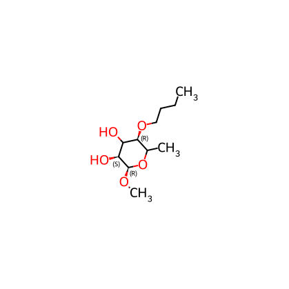 CCCCO[C@H]1C(C)O[C@@H](OC)[C@@H](O)C1O